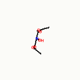 CCCCCCCCCC(=O)OC(C)CCCCCCN(CCO)CCCCCCCOC(=O)C(C)CCCCCCCC